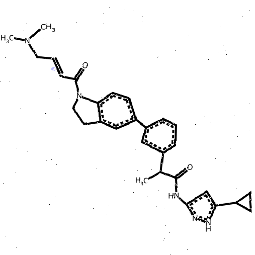 CC(C(=O)Nc1cc(C2CC2)[nH]n1)c1cccc(-c2ccc3c(c2)CCN3C(=O)/C=C/CN(C)C)c1